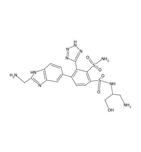 NCc1nc2cc(-c3ccc(S(=O)(=O)NC(CN)CO)c(S(N)(=O)=O)c3-c3nn[nH]n3)ccc2[nH]1